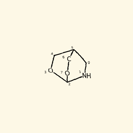 C1NC2OCC1CO2